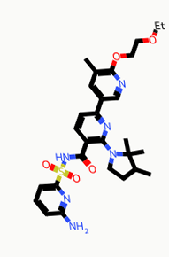 CCOCCOc1ncc(-c2ccc(C(=O)NS(=O)(=O)c3cccc(N)n3)c(N3CCC(C)C3(C)C)n2)cc1C